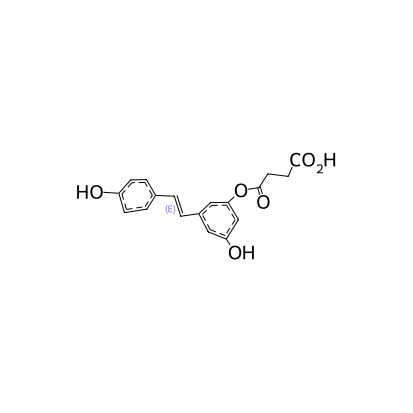 O=C(O)CCC(=O)Oc1cc(O)cc(/C=C/c2ccc(O)cc2)c1